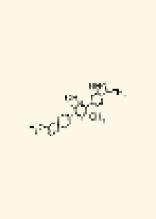 Cc1nc(N2CCC3(CC2)CO[C@@H](C)C3)c(CO)nc1-c1ccc2c(C)n[nH]c2c1